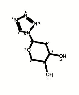 OC1COC(n2cnnn2)CC1O